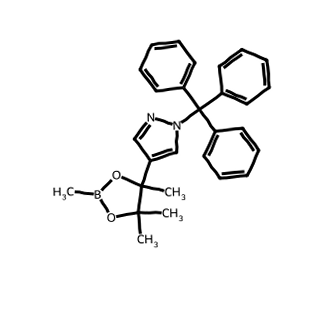 CB1OC(C)(C)C(C)(c2cnn(C(c3ccccc3)(c3ccccc3)c3ccccc3)c2)O1